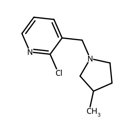 CC1CCN(Cc2cccnc2Cl)C1